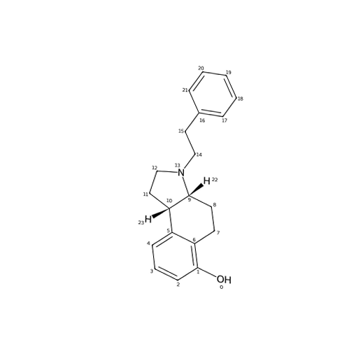 Oc1cccc2c1CC[C@@H]1[C@H]2CCN1CCc1ccccc1